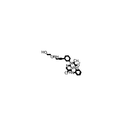 C=CC(=O)Nc1ccccc1Nc1nc(NC2CCCC(C#CCNOCCO)C2)ncc1Cl